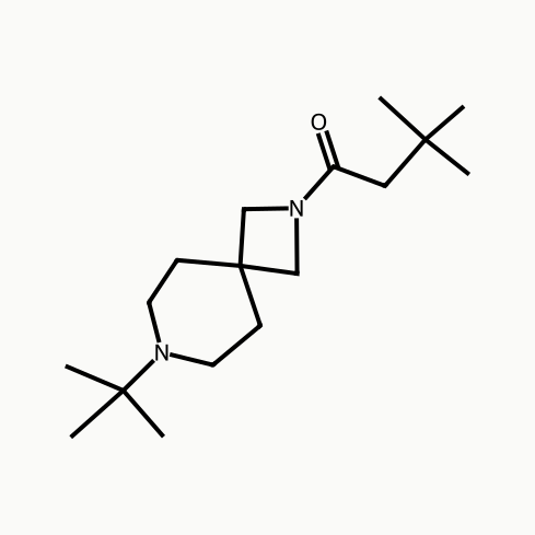 CC(C)(C)CC(=O)N1CC2(CCN(C(C)(C)C)CC2)C1